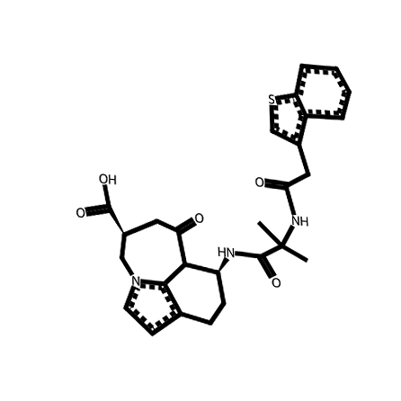 CC(C)(NC(=O)Cc1csc2ccccc12)C(=O)N[C@H]1CCc2ccn3c2C1C(=O)C[C@H](C(=O)O)C3